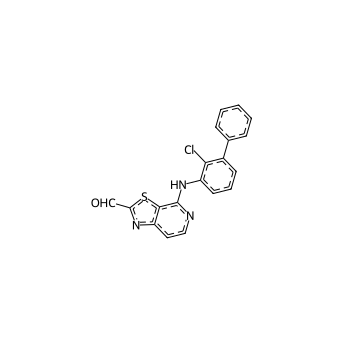 O=Cc1nc2ccnc(Nc3cccc(-c4ccccc4)c3Cl)c2s1